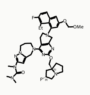 CCc1c(F)ccc2cc(OCOC)cc(N3CCc4c(nc(OC[C@@]56CCCN5C[C@H](F)C6)nc4N4CCCn5nc(N(C)C(=O)N(C)C)cc5C4)C3)c12